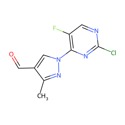 Cc1nn(-c2nc(Cl)ncc2F)cc1C=O